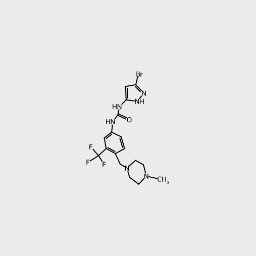 CN1CCN(Cc2ccc(NC(=O)Nc3cc(Br)n[nH]3)cc2C(F)(F)F)CC1